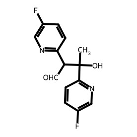 CC(O)(c1ccc(F)cn1)C(C=O)c1ccc(F)cn1